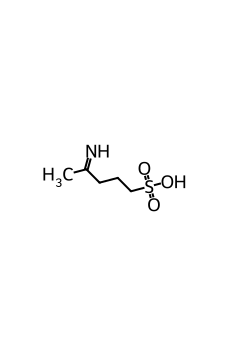 CC(=N)CCCS(=O)(=O)O